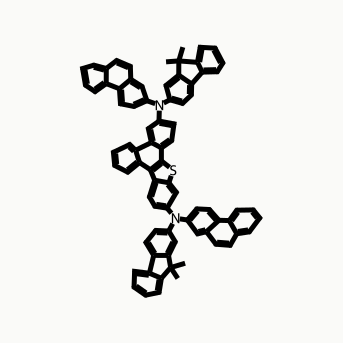 CC1(C)c2ccccc2-c2ccc(N(c3ccc4c(ccc5ccccc54)c3)c3ccc4c(c3)sc3c5ccc(N(c6ccc7c(c6)C(C)(C)c6ccccc6-7)c6ccc7c(ccc8ccccc87)c6)cc5c5ccccc5c43)cc21